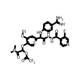 CCOc1cc(C(Nc2ccc(C(=N)N)cc2)C(=O)NNC(=O)c2ccncc2F)ccc1OC(OC(=O)C(F)(F)F)C(=O)N(C)C